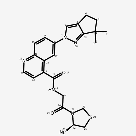 CC1(C)CCc2cn(-c3ccc4nccc(C(=O)NCC(=O)N5CSC[C@H]5C#N)c4c3)nc21